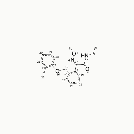 CCNC(=O)C(=NOC)c1ccccc1COc1ccccc1F